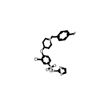 O=S(=O)(Nc1nccs1)c1ccc(OC2CCN(Cc3ccc(F)cc3)CC2)c(Cl)c1